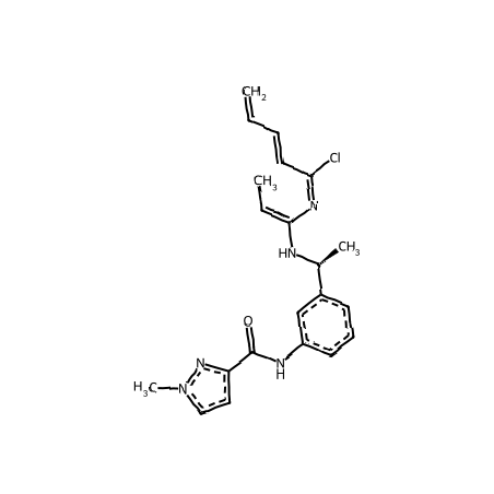 C=C/C=C/C(Cl)=N\C(=C/C)N[C@@H](C)c1cccc(NC(=O)c2ccn(C)n2)c1